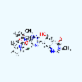 CN(c1cnc(-c2cc3ncn(C)c(=O)c3cc2O)nn1)[C@H]1C[C@@H]2CCC([C@H]1F)N2C(=O)OC(C)(C)C